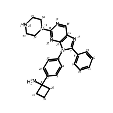 NC1(c2ccc(-n3c(-c4ccccc4)nc4cnc(N5CCNCC5)nc43)cc2)CCC1